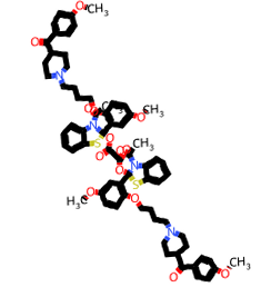 COc1ccc(C(=O)C2CCN(CCCCOc3ccc(OC)cc3C3(OC(=O)C(=O)OC4(c5cc(OC)ccc5OCCCCN5CCC(C(=O)c6ccc(OC)cc6)CC5)Sc5ccccc5N4C(C)=O)Sc4ccccc4N3C(C)=O)CC2)cc1